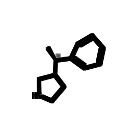 C[C@@H](c1ccccc1)C1CCNC1